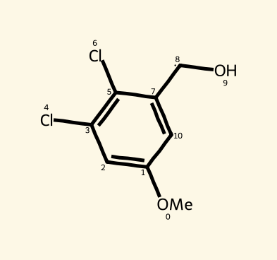 COc1cc(Cl)c(Cl)c([CH]O)c1